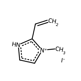 C=Cc1[nH]cc[n+]1C.[I-]